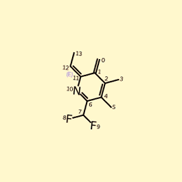 C=c1c(C)c(C)c(C(F)F)n/c1=C/C